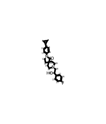 O=C1N(c2ccc(C3CC3)cc2)CCC12CCN(C[C@@H](O)c1ccc(F)cc1)CC2